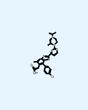 Cc1cc2nc(-c3ccnc(N4CCN(C(C)C)CC4C)n3)sc2c(-c2ccc(Cl)cc2)c1CC(=O)O